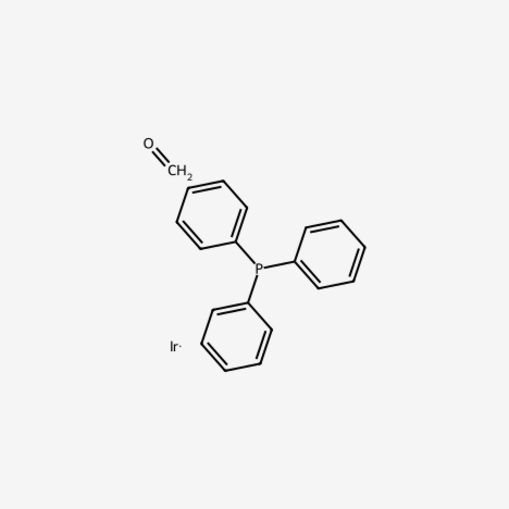 C=O.[Ir].c1ccc(P(c2ccccc2)c2ccccc2)cc1